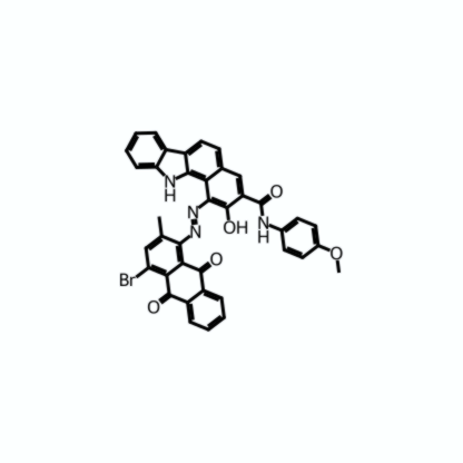 COc1ccc(NC(=O)c2cc3ccc4c5ccccc5[nH]c4c3c(N=Nc3c(C)cc(Br)c4c3C(=O)c3ccccc3C4=O)c2O)cc1